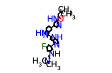 CC(C)CC(=O)Nc1cncc(-c2ccc3[nH]nc(-c4cc5c(-c6cc(F)cc(NCCN(C)C)c6)nccc5[nH]4)c3c2)c1